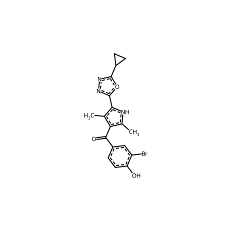 Cc1[nH]c(-c2nnc(C3CC3)o2)c(C)c1C(=O)c1ccc(O)c(Br)c1